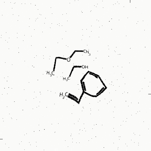 C=Cc1ccccc1.CCO.CCOCC